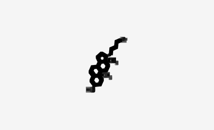 CC(C)CCCC[C@H]1CCC2C3CC=C4C[C@@H](O)CC[C@]4(C)C3CC[C@@]21C